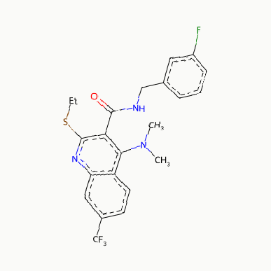 CCSc1nc2cc(C(F)(F)F)ccc2c(N(C)C)c1C(=O)NCc1cccc(F)c1